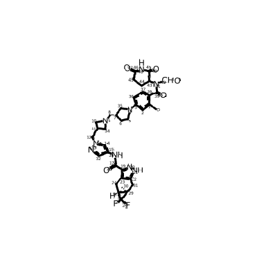 Cc1cc(N2CC[C@H](CN3CC(Cn4cc(NC(=O)c5n[nH]c6c5C[C@@H]5C(F)(F)[C@]5(C)C6)cn4)C3)C2)ccc1C(=O)N(C=O)C1CCC(=O)NC1=O